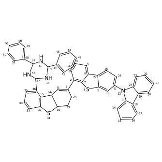 C1=C(c2cccc3c2sc2cc(-n4c5ccccc5c5ccccc54)ccc23)CCC2Sc3cccc(C4NC(c5ccccc5)NC(c5ccccc5)N4)c3C12